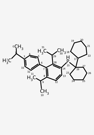 CC(C)c1ccc(-c2c(C(C)C)ccc(PC3(C4CCCCC4)CCCCC3)c2C(C)C)cc1